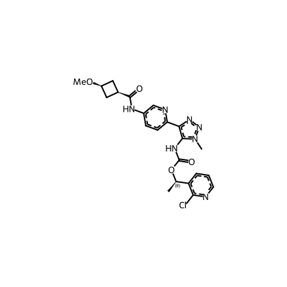 CO[C@H]1C[C@@H](C(=O)Nc2ccc(-c3nnn(C)c3NC(=O)O[C@H](C)c3cccnc3Cl)nc2)C1